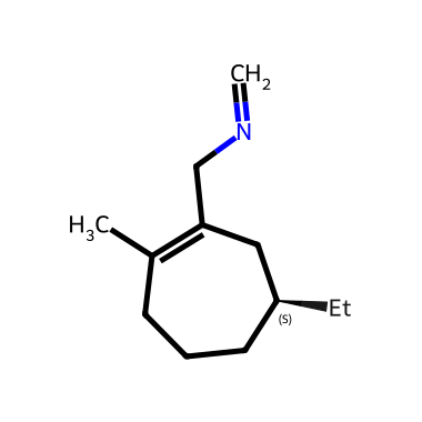 C=NCC1=C(C)CCC[C@H](CC)C1